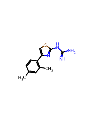 Cc1ccc(-c2csc(NC(=N)N)n2)c(C)c1